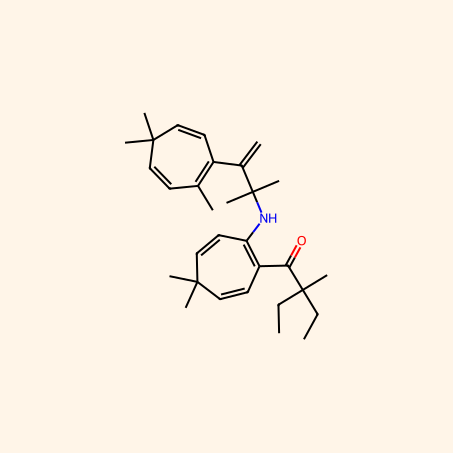 C=C(C1=C(C)C=CC(C)(C)C=C1)C(C)(C)NC1=C(C(=O)C(C)(CC)CC)C=CC(C)(C)C=C1